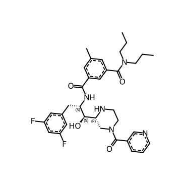 CCCN(CCC)C(=O)c1cc(C)cc(C(=O)N[C@@H](Cc2cc(F)cc(F)c2)[C@H](O)[C@H]2CN(C(=O)c3cccnc3)CCN2)c1